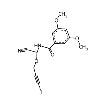 COc1cc(OC)cc(C(=O)NC(C#N)OCC#CI)c1